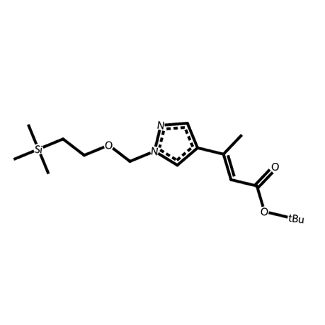 C/C(=C\C(=O)OC(C)(C)C)c1cnn(COCC[Si](C)(C)C)c1